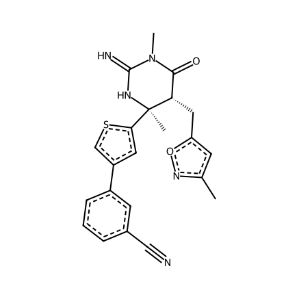 Cc1cc(C[C@H]2C(=O)N(C)C(=N)N[C@]2(C)c2cc(-c3cccc(C#N)c3)cs2)on1